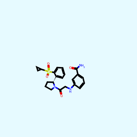 NC(=O)c1cccc(NCC(=O)N2CCC[C@@H]2c2ccccc2S(=O)(=O)C2CC2)c1